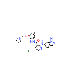 Cl.O=C(Nc1ccc(C(F)(F)F)c(OCCN2CCCC2)c1)c1cccnc1Nc1ccc2cn[nH]c2c1